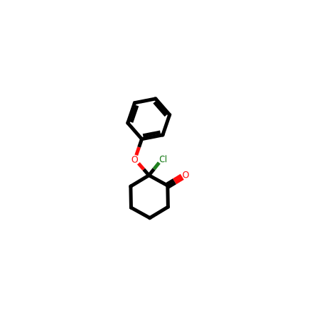 O=C1CCCCC1(Cl)Oc1ccccc1